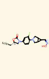 CC(=O)NC[C@H]1CN(c2ccc(N3CC4C(/C=N\O)C4C3)c(F)c2)C(=O)O1